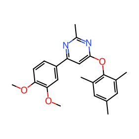 COc1ccc(-c2cc(Oc3c(C)cc(C)cc3C)nc(C)n2)cc1OC